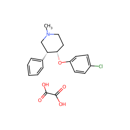 CN1CC[C@H](Oc2ccc(Cl)cc2)[C@H](c2ccccc2)C1.O=C(O)C(=O)O